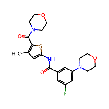 Cc1cc(NC(=O)c2cc(F)cc(N3CCOCC3)c2)sc1C(=O)N1CCOCC1